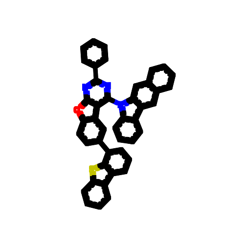 c1ccc(-c2nc(-n3c4ccccc4c4cc5ccccc5cc43)c3c(n2)oc2ccc(-c4cccc5c4sc4ccccc45)cc23)cc1